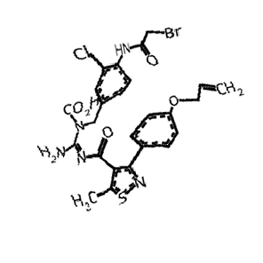 C=CCOc1ccc(-c2nsc(C)c2C(=O)N=C(N)N(Cc2ccc(NC(=O)CBr)c(Cl)c2)C(=O)O)cc1